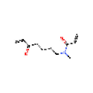 C=CC(=O)CCCCN(C)C(=O)C=C